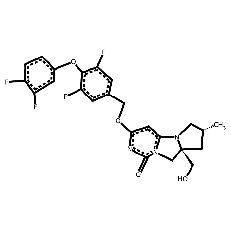 C[C@H]1CN2c3cc(OCc4cc(F)c(Oc5ccc(F)c(F)c5)c(F)c4)nc(=O)n3C[C@@]2(CO)C1